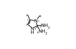 CC1=CNC(N)(N)N1C